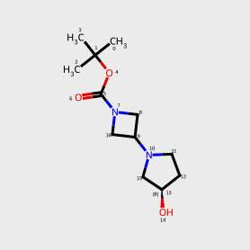 CC(C)(C)OC(=O)N1CC(N2CC[C@@H](O)C2)C1